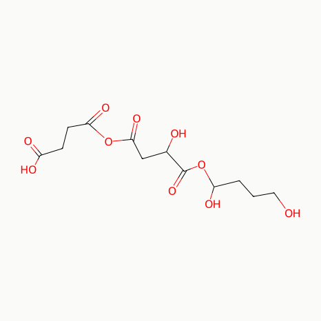 O=C(O)CCC(=O)OC(=O)CC(O)C(=O)OC(O)CCCO